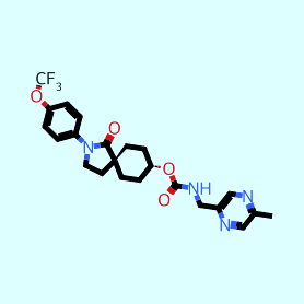 Cc1cnc(CNC(=O)O[C@H]2CC[C@]3(CCN(c4ccc(OC(F)(F)F)cc4)C3=O)CC2)cn1